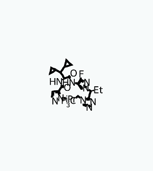 CC[C@@H](c1nncn1CC(F)(F)F)n1cc(NC(=O)[C@@H](NC(=O)c2ccnn2C(C)C)C(C2CC2)C2CC2)c(F)n1